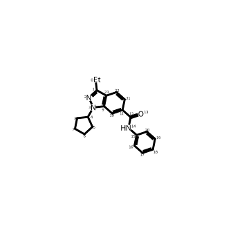 CCc1nn(C2CCCC2)c2cc(C(=O)Nc3ccccc3)ccc12